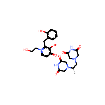 C[C@@H](CN1CC(=O)NC(=O)C1)N1CC(=O)NC(=O)C1.O=c1ccn(CCO)c(Cc2ccccc2O)c1O